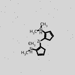 C[SiH](C)C1=[C]([Zr][C]2=C([SiH](C)C)C=CC2)CC=C1